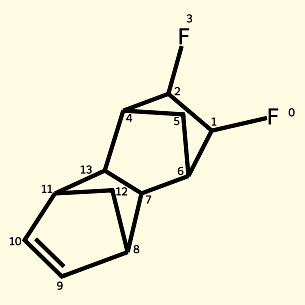 FC1C(F)C2CC1C1C3C=CC(C3)C21